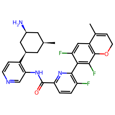 CC1=CCOc2c1cc(F)c(-c1nc(C(=O)Nc3cnccc3[C@@H]3C[C@H](C)C[C@H](N)C3)ccc1F)c2F